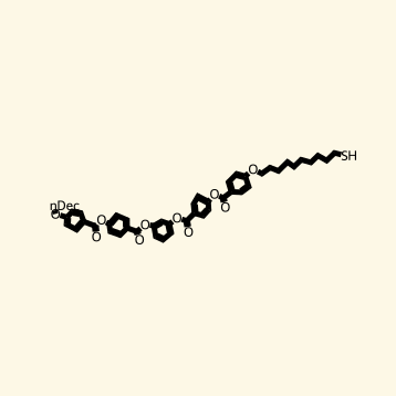 CCCCCCCCCCOc1ccc(C(=O)Oc2ccc(C(=O)Oc3cccc(OC(=O)c4ccc(OC(=O)c5ccc(OCCCCCCCCCCS)cc5)cc4)c3)cc2)cc1